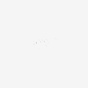 Cc1ccc(NC(=O)Nc2cc(N3CCOCC3)nc(OCCN3CCOCC3)n2)cc1C